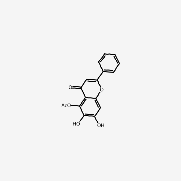 CC(=O)Oc1c(O)c(O)cc2oc(-c3ccccc3)cc(=O)c12